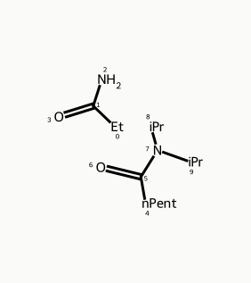 CCC(N)=O.CCCCCC(=O)N(C(C)C)C(C)C